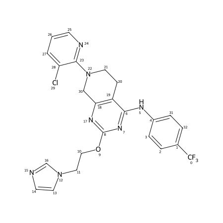 FC(F)(F)c1ccc(Nc2nc(OCCn3ccnc3)nc3c2CCN(c2ncccc2Cl)C3)cc1